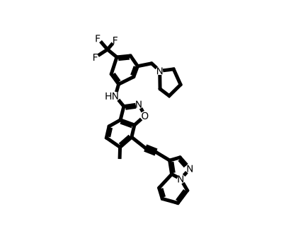 Cc1ccc2c(Nc3cc(CN4CCCC4)cc(C(F)(F)F)c3)noc2c1C#Cc1cnn2ccccc12